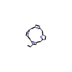 C=CC1=CC2=CC3=NC(=CC4=NC(=CC5=NC(=CC1=N2)C=C5)C=C4)C=C3